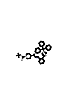 CC(C)(C)OC(=O)N1CCC(C(=O)/C=C/c2ccccc2-c2cn(C(c3ccccc3)(c3ccccc3)c3ccccc3)cn2)CC1